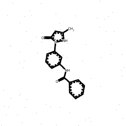 Cc1cc(=O)n(-c2cccc(NC(=O)c3ccccc3)c2)[nH]1